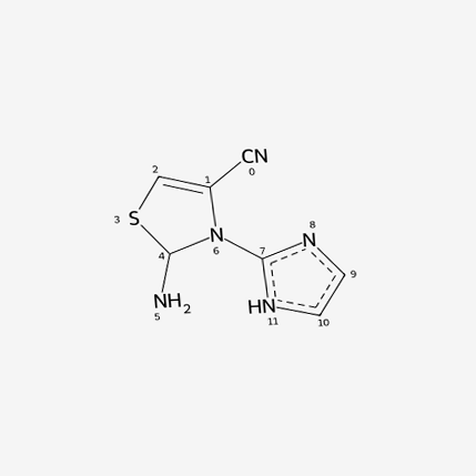 N#CC1=CSC(N)N1c1ncc[nH]1